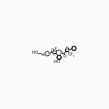 Cl.O=C(/C=C1/c2ccccc2N(C(=O)c2cnn(-c3ccccc3)c2C(F)(F)F)CCC1(F)F)N1CCN(CCCO)CC1